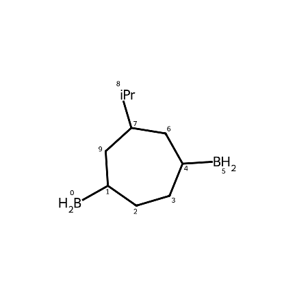 BC1CCC(B)CC(C(C)C)C1